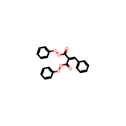 O=C(OOc1ccccc1)C(=Cc1ccccc1)C(=O)OOc1ccccc1